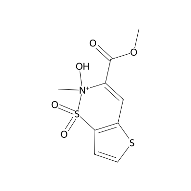 COC(=O)C1=Cc2sccc2S(=O)(=O)[N+]1(C)O